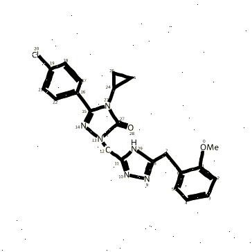 COc1ccccc1Cc1nnc(Cn2nc(-c3ccc(Cl)cc3)n(C3CC3)c2=O)[nH]1